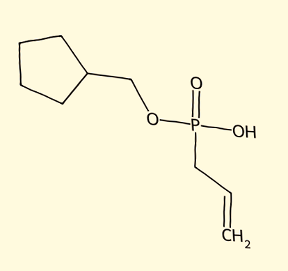 C=CCP(=O)(O)OCC1CCCC1